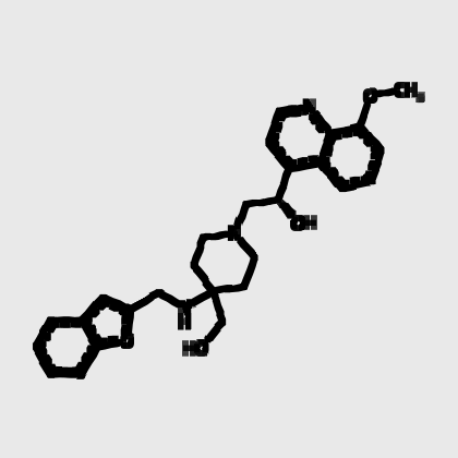 COc1cccc2c([C@@H](O)CN3CCC(CO)(NCc4cc5ccccc5o4)CC3)ccnc12